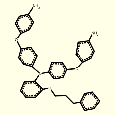 Nc1ccc(Oc2ccc(N(c3ccc(Oc4ccc(N)cc4)cc3)c3ccccc3OCCCc3ccccc3)cc2)cc1